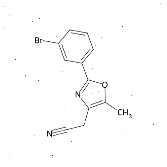 Cc1oc(-c2cccc(Br)c2)nc1CC#N